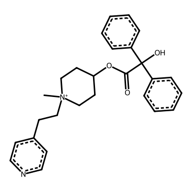 C[N+]1(CCc2ccncc2)CCC(OC(=O)C(O)(c2ccccc2)c2ccccc2)CC1